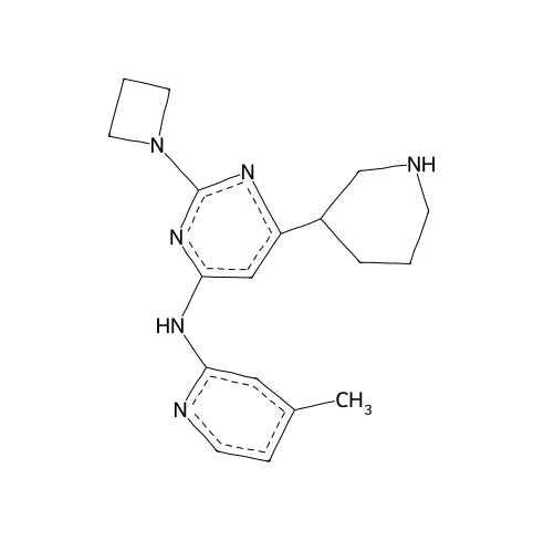 Cc1ccnc(Nc2cc(C3CCCNC3)nc(N3CCC3)n2)c1